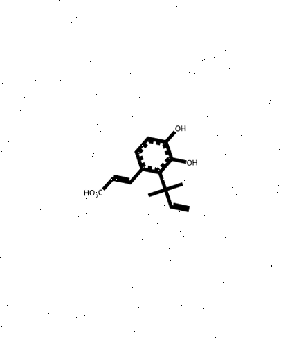 C=CC(C)(C)c1c(C=CC(=O)O)ccc(O)c1O